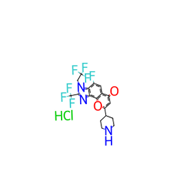 Cl.O=c1cc(C2CCNCC2)oc2c1cc(F)c1c2nc(C(F)(F)F)n1CC(F)(F)F